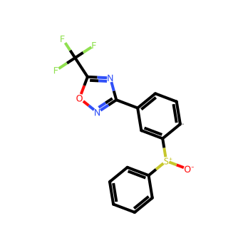 [O-][S+](c1[c]ccc(-c2noc(C(F)(F)F)n2)c1)c1ccccc1